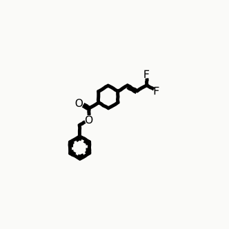 O=C(OCc1ccccc1)C1CCC(C=CC(F)F)CC1